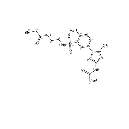 CCCCCC(=O)Nc1nc(C)c(-c2ccc(OC)c(S(=O)(=O)NCCNC(=O)CC(C)(C)C)c2)s1